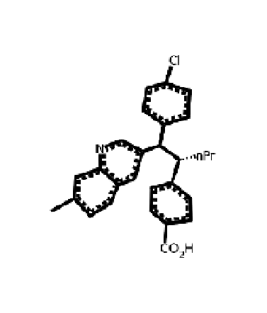 CCC[C@H](c1ccc(C(=O)O)cc1)C(c1ccc(Cl)cc1)c1cnc2cc(C)ccc2c1